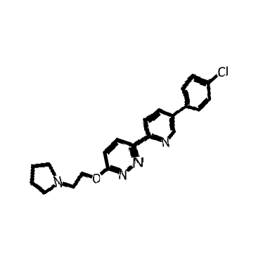 Clc1ccc(-c2ccc(-c3ccc(OCCN4CCCC4)nn3)nc2)cc1